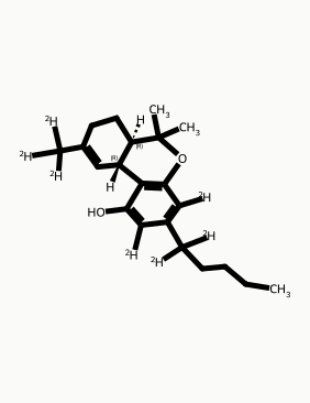 [2H]c1c(O)c2c(c([2H])c1C([2H])([2H])CCCC)OC(C)(C)[C@@H]1CCC(C([2H])([2H])[2H])=C[C@@H]21